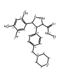 CCNC(=O)C1NOC(c2cc(C(C)C)c(O)cc2O)C1c1ccc(CN2CCOCC2)cc1